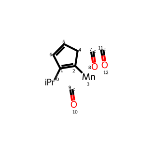 CC(C)C1=[C]([Mn])CC=C1.[C]=O.[C]=O.[C]=O